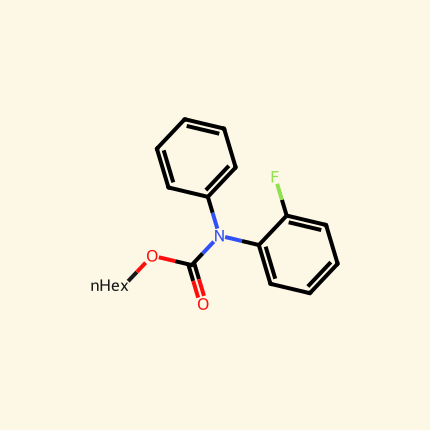 [CH2]CCCCCOC(=O)N(c1ccccc1)c1ccccc1F